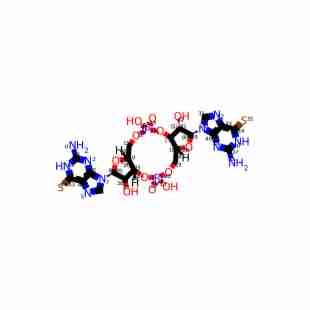 Nc1nc2c(ncn2[C@@H]2O[C@@H]3COP(=O)(O)OC4[C@@H](COP(=O)(O)O[C@@H]3C2O)O[C@@H](n2cnc3c(=S)[nH]c(N)nc32)[C@H]4O)c(=S)[nH]1